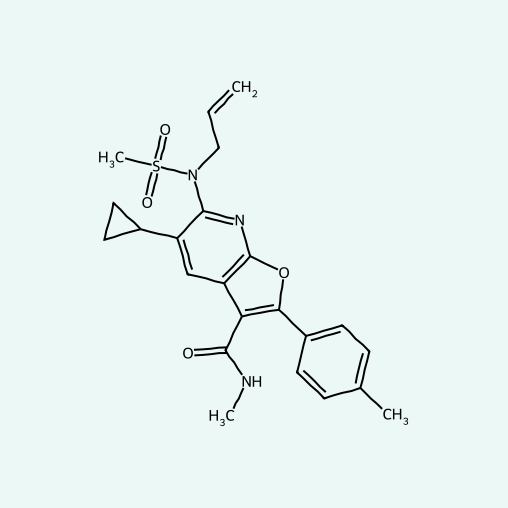 C=CCN(c1nc2oc(-c3ccc(C)cc3)c(C(=O)NC)c2cc1C1CC1)S(C)(=O)=O